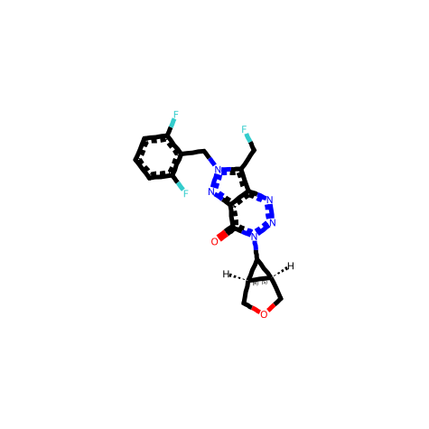 O=c1c2nn(Cc3c(F)cccc3F)c(CF)c2nnn1C1[C@H]2COC[C@@H]12